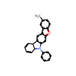 Cc1ccc2oc3cc4c(cc3c2c1)C1C=CC=CC1N4c1ccccc1